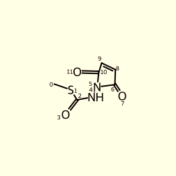 CSC(=O)NN1C(=O)C=CC1=O